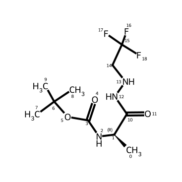 C[C@@H](NC(=O)OC(C)(C)C)C(=O)NNCC(F)(F)F